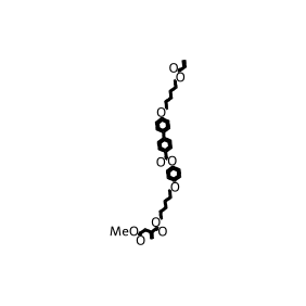 C=CC(=O)OCCCCCCOc1ccc(-c2ccc(C(=O)Oc3ccc(OCCCCCCOC(=O)C(=C)CC(=O)OC)cc3)cc2)cc1